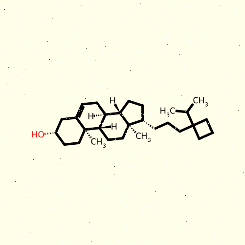 CC(C)C1(CCC[C@H]2CC[C@H]3[C@@H]4CC=C5C[C@@H](O)CC[C@]5(C)[C@H]4CC[C@]23C)CCC1